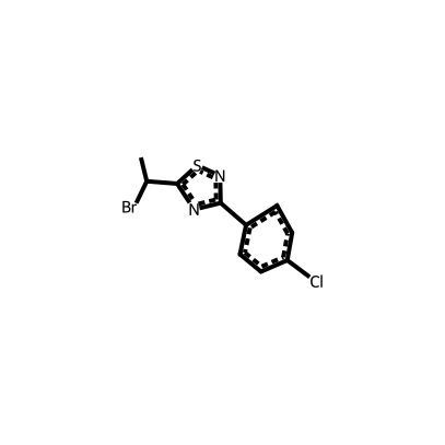 CC(Br)c1nc(-c2ccc(Cl)cc2)ns1